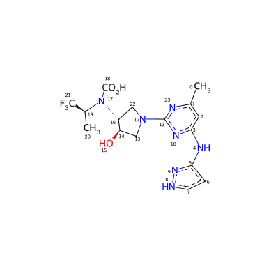 Cc1cc(Nc2cc[nH]n2)nc(N2C[C@@H](O)[C@H](N(C(=O)O)[C@@H](C)C(F)(F)F)C2)n1